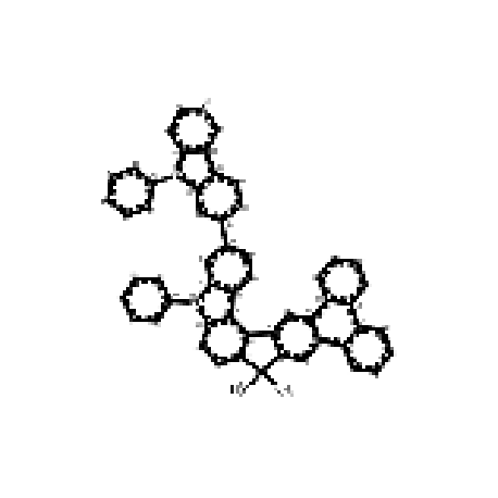 CC1(C)c2cc3c4ccccc4c4ccccc4c3cc2-c2c1ccc1c2c2ccc(-c3ccc4c5cnccc5n(-c5ccccc5)c4c3)cc2n1-c1ccccc1